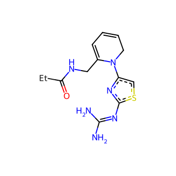 CCC(=O)NCC1=CC=CCN1c1csc(N=C(N)N)n1